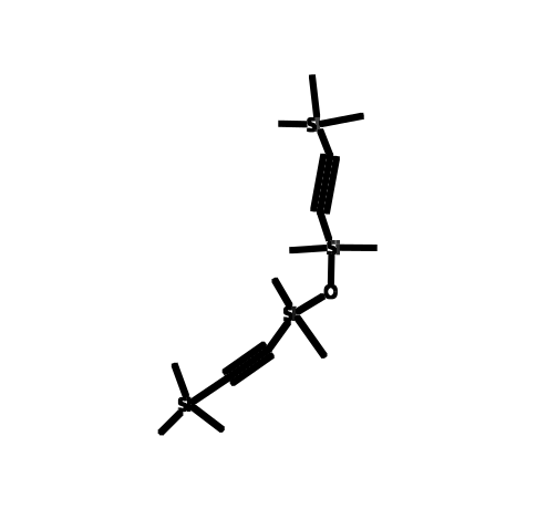 C[Si](C)(C)C#C[Si](C)(C)O[Si](C)(C)C#C[Si](C)(C)C